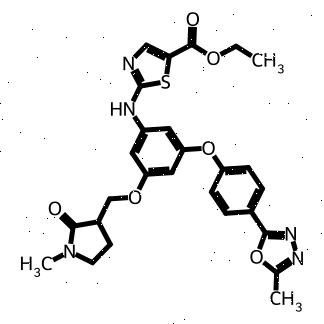 CCOC(=O)c1cnc(Nc2cc(OCC3CCN(C)C3=O)cc(Oc3ccc(-c4nnc(C)o4)cc3)c2)s1